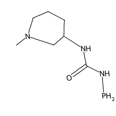 CN1CCCC(NC(=O)NP)C1